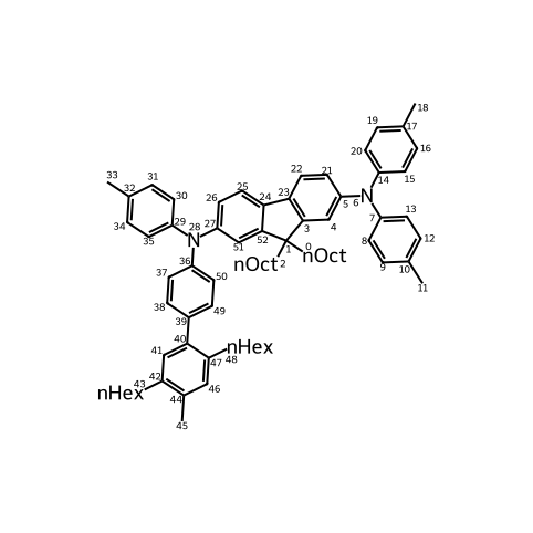 CCCCCCCCC1(CCCCCCCC)c2cc(N(c3ccc(C)cc3)c3ccc(C)cc3)ccc2-c2ccc(N(c3ccc(C)cc3)c3ccc(-c4cc(CCCCCC)c(C)cc4CCCCCC)cc3)cc21